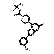 CC(C)(C)OC(=O)N1CC=C(c2cc(=O)nc3sc(-c4cccc(N)c4)nn23)CC1